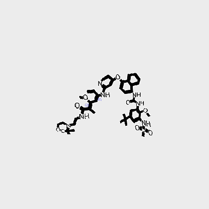 C=C/C(=C\C(OC)=C(/C)C(=O)NCCN1CCOCC1(C)C)Nc1cc(Oc2ccc(NC(=O)Nc3cc(C(C)(C)C)cc(NS(C)(=O)=O)c3OC)c3ccccc23)ccn1